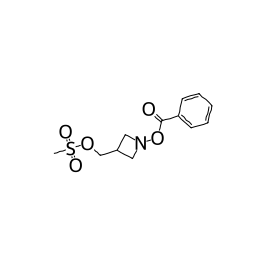 CS(=O)(=O)OCC1CN(OC(=O)c2ccccc2)C1